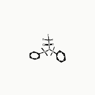 C[Si](C)(c1ccccc1)N([Si](C)(C)c1ccccc1)S(=O)(=O)C(F)(F)F